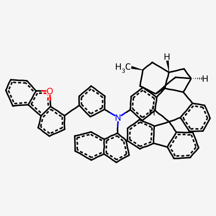 C[C@H]1C[C@@H]2C[C@@H]3C[C@H](C1)C21c2ccc(N(c4cccc(-c5cccc6c5oc5ccccc56)c4)c4cccc5ccccc45)cc2C2(c4ccccc4-c4ccccc42)c2ccccc2C31